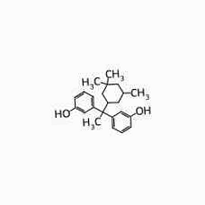 CC1CC(C(C)(c2cccc(O)c2)c2cccc(O)c2)CC(C)(C)C1